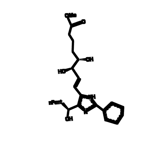 CCCCC[C@H](O)c1nc(-c2ccccc2)[nH]c1/C=C/[C@@H](O)[C@@H](O)CCCC(=O)OC